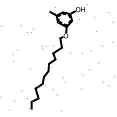 CCCCCCCCCCCCOc1cc(C)cc(O)c1